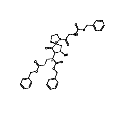 O=C(CC[C@@H](C(=O)OCc1ccccc1)C1C(=O)[C@@]2(CCCN2C(=O)CNC(=O)OCc2ccccc2)CC1O)OCc1ccccc1